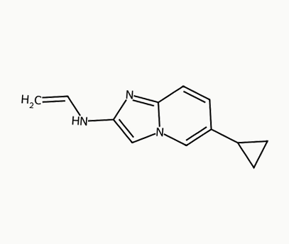 C=CNc1cn2cc(C3CC3)ccc2n1